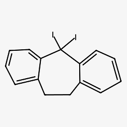 IC1(I)c2ccccc2CCc2ccccc21